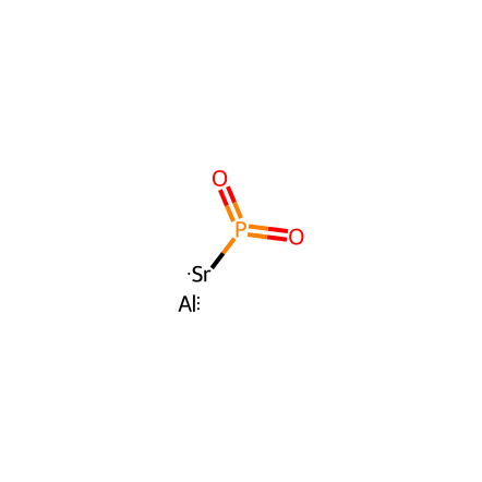 O=[P](=O)[Sr].[Al]